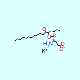 CCCCCCCCCCCC(=O)C(CCCC)OC(=O)[C@@H](N)CCC(=O)[O-].[K+]